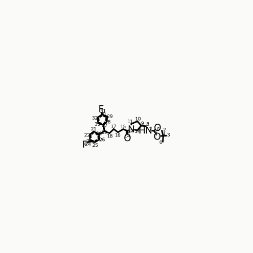 CC(C)(C)OC(=O)NCC1CCN(C(=O)CCCCC(c2ccc(F)cc2)c2ccc(F)cc2)C1